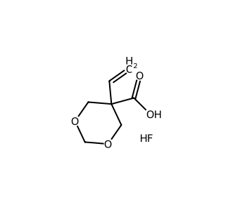 C=CC1(C(=O)O)COCOC1.F